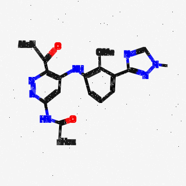 CCCCCCC(=O)Nc1cc(Nc2cccc(-c3ncn(C)n3)c2OC)c(C(=O)NC)nn1